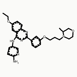 CCOc1ccc2nc(-c3cccc(OCCCN4CCOCC4C)c3)nc(Nc3ccc(N)nc3)c2c1